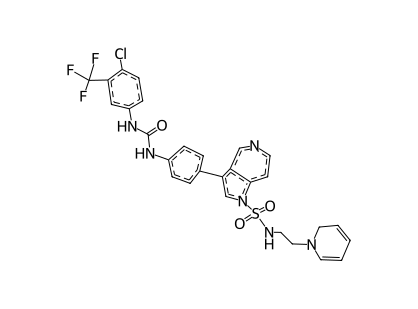 O=C(Nc1ccc(-c2cn(S(=O)(=O)NCCN3C=CC=CC3)c3ccncc23)cc1)Nc1ccc(Cl)c(C(F)(F)F)c1